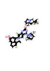 CCc1c(F)ccc2cc(O)cc(-c3ncc4c(N5C[C@H]6CC[C@@H](C5)N6)nc(OC[C@@]56CCCN5C[C@]5(CC5(F)F)C6)nc4c3F)c12